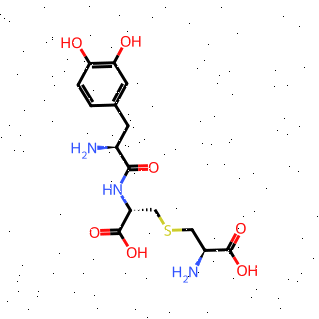 N[C@@H](CSC[C@@H](NC(=O)[C@@H](N)Cc1ccc(O)c(O)c1)C(=O)O)C(=O)O